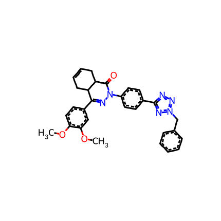 COc1ccc(C2=NN(c3ccc(-c4nnn(Cc5ccccc5)n4)cc3)C(=O)C3CC=CCC23)cc1OC